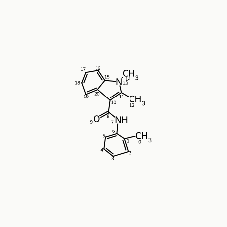 Cc1ccccc1NC(=O)c1c(C)n(C)c2ccccc12